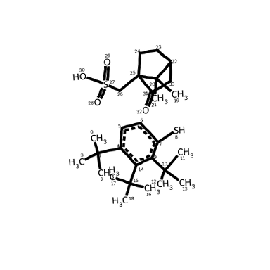 CC(C)(C)c1ccc(S)c(C(C)(C)C)c1C(C)(C)C.CC1(C)C2CCC1(CS(=O)(=O)O)C(=O)C2